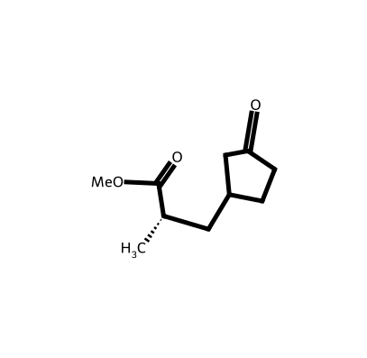 COC(=O)[C@@H](C)CC1CCC(=O)C1